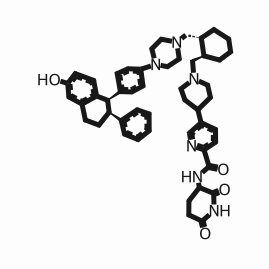 O=C1CCC(NC(=O)c2ccc(C3CCN(C[C@@H]4CCCC[C@H]4CN4CCN(c5ccc([C@@H]6c7ccc(O)cc7CC[C@@H]6c6ccccc6)cc5)CC4)CC3)cn2)C(=O)N1